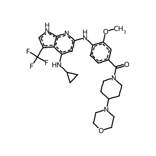 COc1cc(C(=O)N2CCC(N3CCOCC3)CC2)ccc1Nc1cc(NC2CC2)c2c(C(F)(F)F)c[nH]c2n1